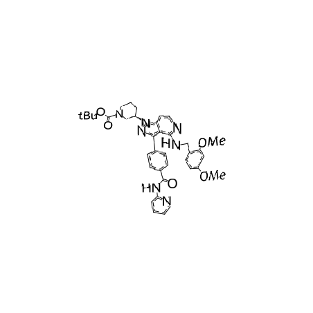 COc1ccc(CNc2nccc3c2c(-c2ccc(C(=O)Nc4ccccn4)cc2)nn3[C@@H]2CCCN(C(=O)OC(C)(C)C)C2)c(OC)c1